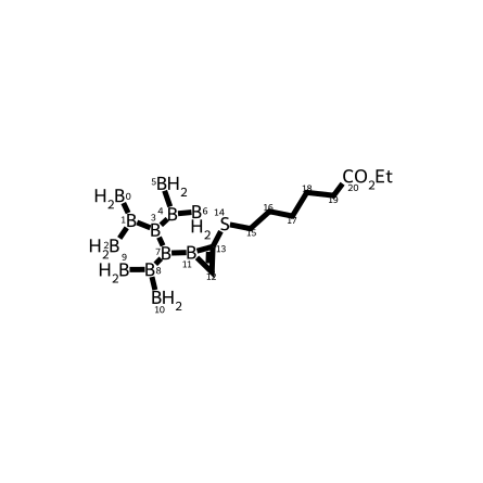 BB(B)B(B(B)B)B(B(B)B)B1C=C1SCCCCCC(=O)OCC